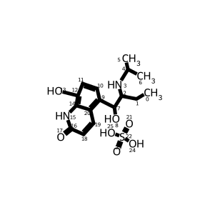 CCC(NC(C)C)C(O)c1ccc(O)c2[nH]c(=O)ccc12.O=S(=O)(O)O